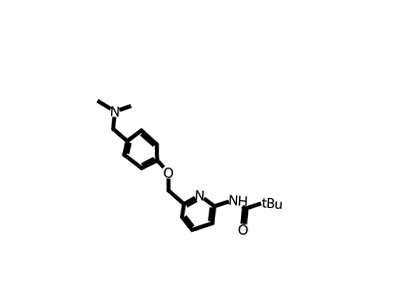 CN(C)Cc1ccc(OCc2cccc(NC(=O)C(C)(C)C)n2)cc1